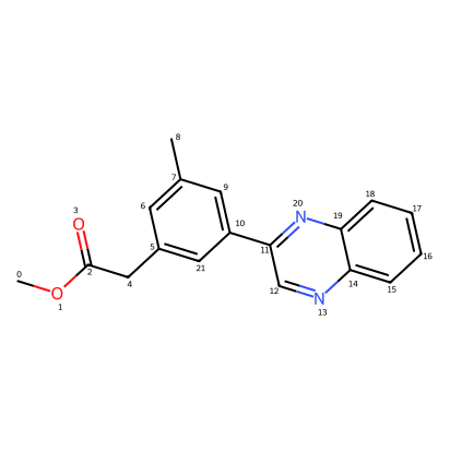 COC(=O)Cc1cc(C)cc(-c2cnc3ccccc3n2)c1